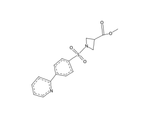 COC(=O)C1CN(S(=O)(=O)c2ccc(-c3ccccn3)cc2)C1